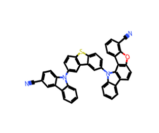 N#Cc1ccc2c(c1)c1ccccc1n2-c1ccc2sc3ccc(-n4c5ccccc5c5ccc6oc7c(C#N)cccc7c6c54)cc3c2c1